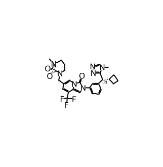 CN1CCCN(Cc2cc(C(F)(F)F)c3cn(-c4cccc([C@H](c5nncn5C)C5CCC5)c4)c(=O)n3c2)S1(=O)=O